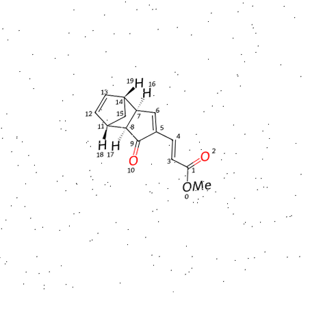 COC(=O)/C=C/C1=C[C@H]2[C@@H](C1=O)[C@@H]1C=C[C@H]2C1